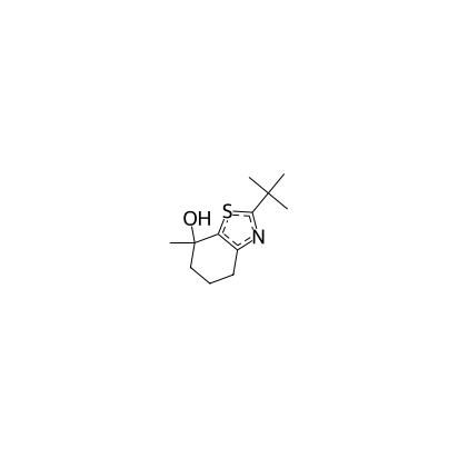 CC(C)(C)c1nc2c(s1)C(C)(O)CCC2